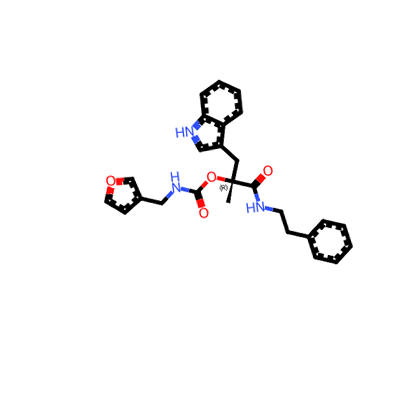 C[C@](Cc1c[nH]c2ccccc12)(OC(=O)NCc1ccoc1)C(=O)NCCc1ccccc1